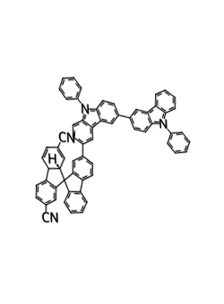 N#CC1=C[C@H]2C(C=C1)c1ccc(C#N)cc1C21c2ccccc2-c2ccc(-c3ccc4c(c3)c3cc(-c5ccc6c(c5)c5ccccc5n6-c5ccccc5)ccc3n4-c3ccccc3)cc21